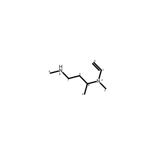 C=CN(C)C(C)CCNC